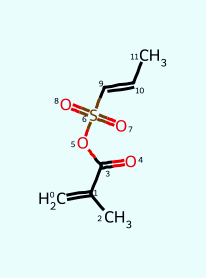 C=C(C)C(=O)OS(=O)(=O)C=CC